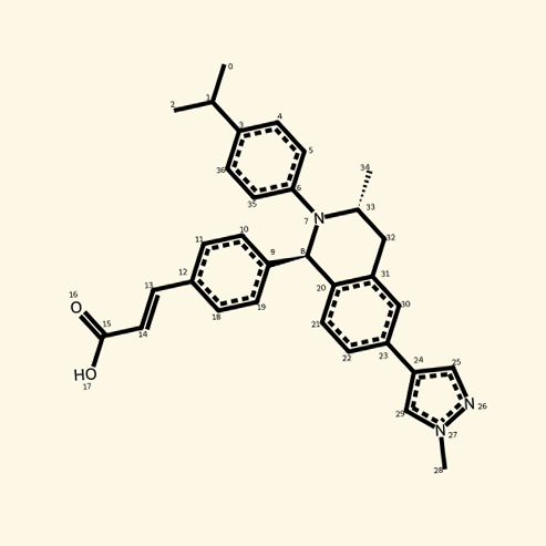 CC(C)c1ccc(N2[C@H](c3ccc(/C=C/C(=O)O)cc3)c3ccc(-c4cnn(C)c4)cc3C[C@H]2C)cc1